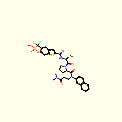 CN(C)C(=O)CCN(C(=O)C1CCCN1C(=O)C(NC(=O)c1cc2cc(C(F)(F)P(=O)(O)O)ccc2s1)C(C)(C)C)c1ccc2ccccc2c1